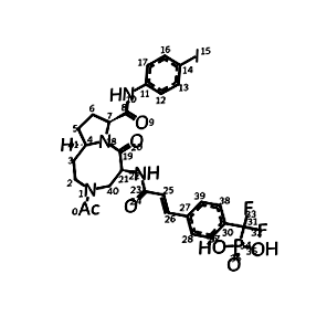 CC(=O)N1CC[C@H]2CC[C@@H](C(=O)Nc3ccc(I)cc3)N2C(=O)[C@@H](NC(=O)/C=C/c2ccc(C(F)(F)P(=O)(O)O)cc2)C1